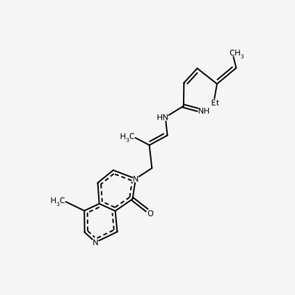 C/C=C(\C=C/C(=N)N/C=C(\C)Cn1ccc2c(C)cncc2c1=O)CC